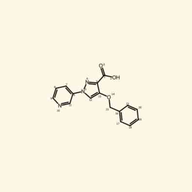 O=C(O)c1nn(-c2cccnc2)cc1OCc1ccccc1